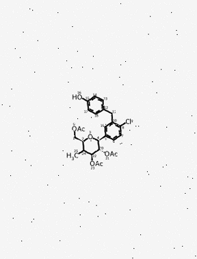 CC(=O)OC[C@H]1O[C@@H](c2ccc(Cl)c(Cc3ccc(O)cc3)c2)[C@H](OC(C)=O)[C@@H](OC(C)=O)C1C